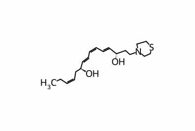 CC/C=C\C[C@H](O)/C=C/C=C\C=C\[C@@H](O)CCN1CCSCC1